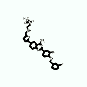 CS(=O)(=O)CCNCc1ccc(-c2ccc3nc(-c4ccc(OCc5cccc(F)c5)c(Br)c4)nc(N)c3c2)o1